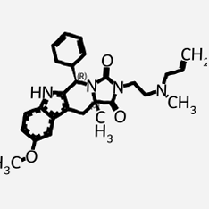 C=CCN(C)CCN1C(=O)N2[C@H](C3C=CC=CC3)c3[nH]c4ccc(OC)cc4c3C[C@@]2(C)C1=O